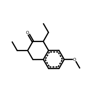 CCC1Cc2ccc(OC)cc2C(CC)C1=O